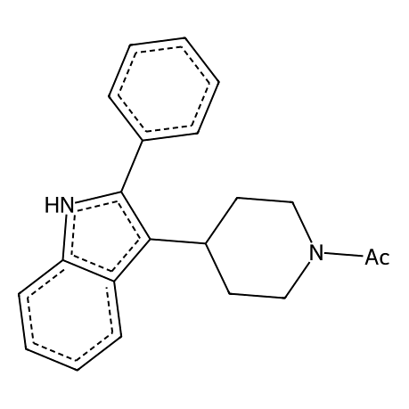 CC(=O)N1CCC(c2c(-c3ccccc3)[nH]c3ccccc23)CC1